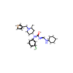 C[C@H]1C[C@H](N(C(=O)/N=C/NC2CCCCC2)c2cccc(F)c2)CCN1Cc1ccsc1